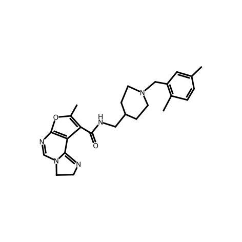 Cc1ccc(C)c(CN2CCC(CNC(=O)c3c(C)oc4c3C3=NCCN3C=N4)CC2)c1